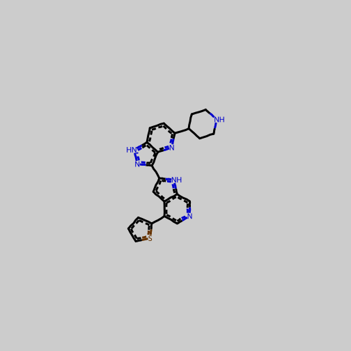 c1csc(-c2cncc3[nH]c(-c4n[nH]c5ccc(C6CCNCC6)nc45)cc23)c1